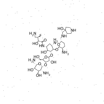 NC[C@@H](F)[C@H](O)C(=O)N[C@@H]1C[C@H](N)[C@@H](O[C@H]2O[C@H](CNCC3(O)CCNCC3)CC[C@H]2N)[C@H](O[C@@H]2O[C@H](CO)[C@@H](O[C@H]3O[C@@H](CN)[C@@H](O)[C@H](O)[C@H]3N)[C@H]2O)[C@H]1O